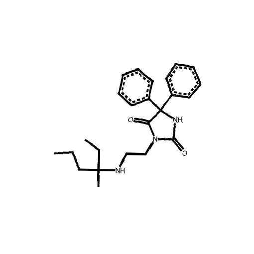 CCCC(C)(CC)NCCN1C(=O)NC(c2ccccc2)(c2ccccc2)C1=O